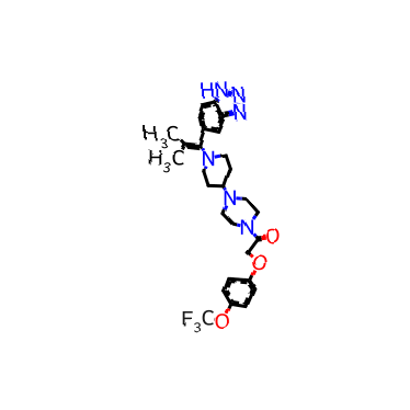 CC(C)=C(c1ccc2[nH]nnc2c1)N1CCC(N2CCN(C(=O)COc3ccc(OC(F)(F)F)cc3)CC2)CC1